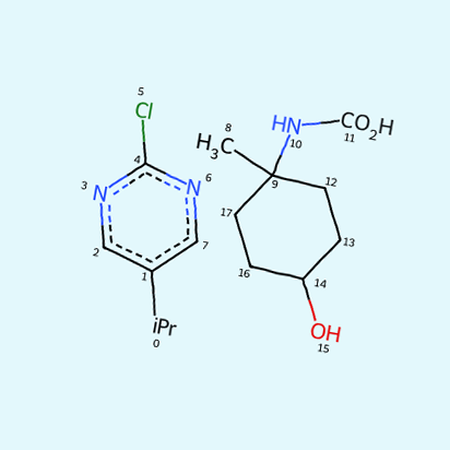 CC(C)c1cnc(Cl)nc1.CC1(NC(=O)O)CCC(O)CC1